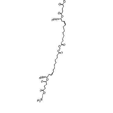 CCCCCCC(C/C=C\CCCCCCCC(=O)OCOC(=O)CCCCCCC/C=C\CC(CCCCCC)OC(=O)CCCC(=O)OCCN)OC(=O)CCCC(=O)OCCN